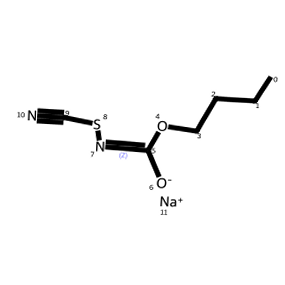 CCCCO/C([O-])=N\SC#N.[Na+]